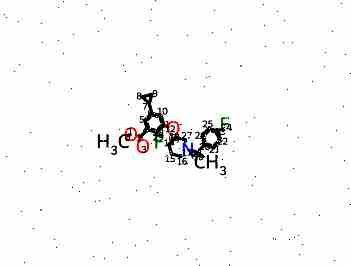 COC(=O)c1cc(C2CC2)cc(O[C@@H]2CCCN([C@H](C)c3ccc(F)cc3)C2)c1F